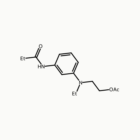 CCC(=O)Nc1cccc(N(CC)CCOC(C)=O)c1